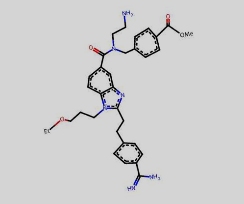 CCOCCCn1c(CCc2ccc(C(=N)N)cc2)nc2cc(C(=O)N(CCN)Cc3ccc(C(=O)OC)cc3)ccc21